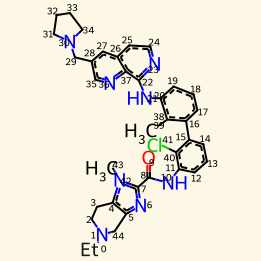 CCN1CCc2c(nc(C(=O)Nc3cccc(-c4cccc(Nc5nccc6cc(CN7CCCC7)cnc56)c4C)c3Cl)n2C)C1